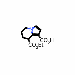 CCOC(=O)C1CCCn2ccc(C(=O)O)c21